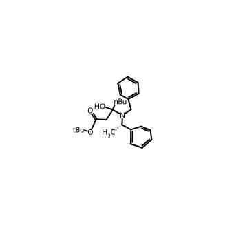 CCCCC(O)(CC(=O)OC(C)(C)C)N(Cc1ccccc1)[C@@H](C)c1ccccc1